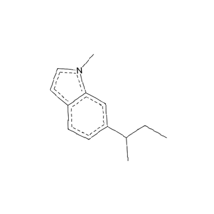 CCC(C)c1ccc2ccn(C)c2c1